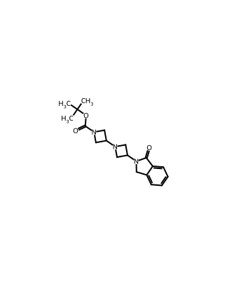 CC(C)(C)OC(=O)N1CC(N2CC(N3Cc4ccccc4C3=O)C2)C1